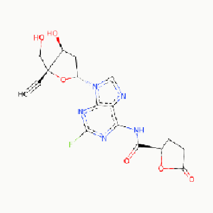 C#C[C@]1(CO)O[C@@H](n2cnc3c(NC(=O)[C@H]4CCC(=O)O4)nc(F)nc32)C[C@@H]1O